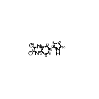 O=C1N=c2ccc(-c3ccc[nH]3)cc2=NC1=O